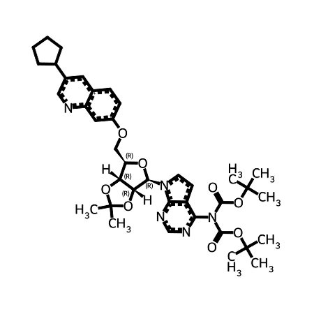 CC(C)(C)OC(=O)N(C(=O)OC(C)(C)C)c1ncnc2c1ccn2[C@@H]1O[C@H](COc2ccc3cc(C4CCCC4)cnc3c2)[C@H]2OC(C)(C)O[C@H]21